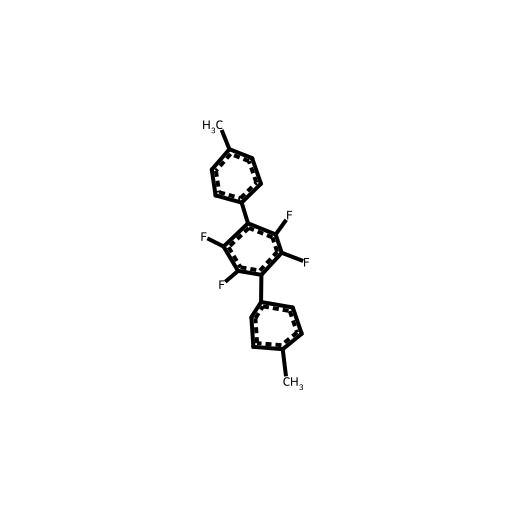 Cc1ccc(-c2c(F)c(F)c(-c3ccc(C)cc3)c(F)c2F)cc1